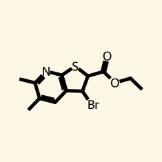 CCOC(=O)C1Sc2nc(C)c(C)cc2C1Br